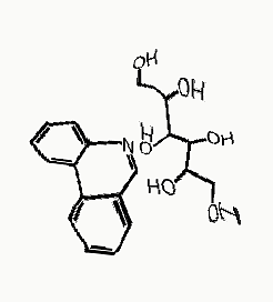 OCC(O)C(O)C(O)C(O)CO.c1ccc2c(c1)cnc1ccccc12